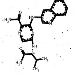 CC(C)[C@@H](Nc1cnc(C(N)=O)c(Nc2cnc3ccccc3c2)n1)C(N)=O